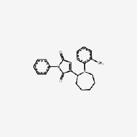 Cc1ccccc1N1CCCCCC1C1=CC(=O)N(c2ccccc2)C1=O